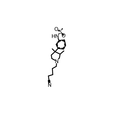 CC1CN(CCCCC#N)CCC1(C)c1cccc(NS(C)(=O)=O)c1